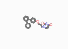 O=c1ccn2c(n1)OC(COc1ccc(-c3ccccc3C3CCCCC3)cc1)C2